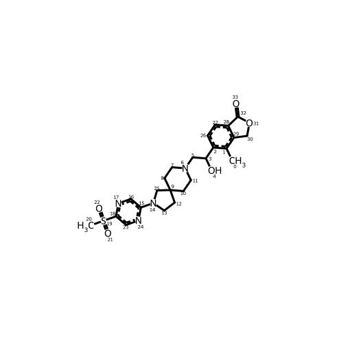 Cc1c(C(O)CN2CCC3(CC2)CCN(c2cnc(S(C)(=O)=O)cn2)C3)ccc2c1COC2=O